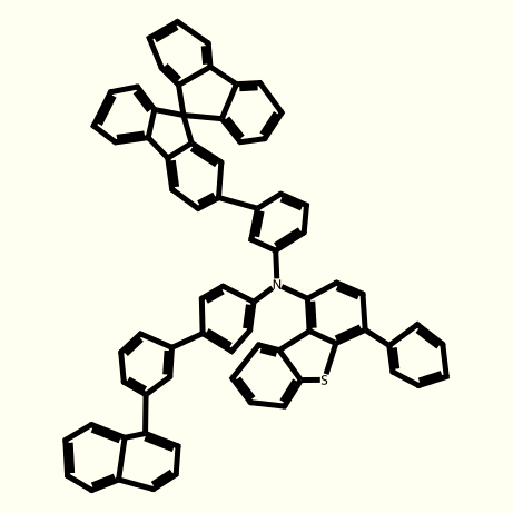 c1ccc(-c2ccc(N(c3ccc(-c4cccc(-c5cccc6ccccc56)c4)cc3)c3cccc(-c4ccc5c(c4)C4(c6ccccc6-c6ccccc64)c4ccccc4-5)c3)c3c2sc2ccccc23)cc1